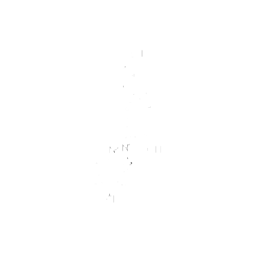 Oc1cc2ccc(OCCS)cc2cc1-n1nc2ccc(Cl)cc2n1